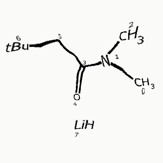 CN(C)C(=O)CC(C)(C)C.[LiH]